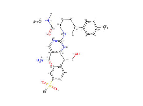 CCS(=O)(=O)c1ccc([C@@H](CO)c2nc(N3CC(c4ccc(C(F)(F)F)cc4)CC[C@H]3C(=O)N(C)OC)ncc2C(N)=O)cc1